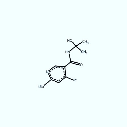 CC(C)c1cc(C(C)(C)C)ncc1C(=O)NC(C)(C)C#N